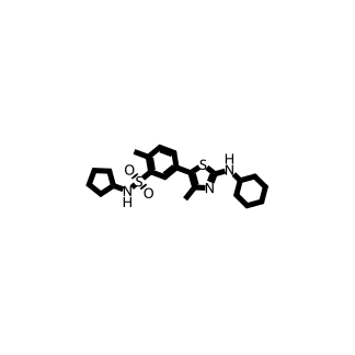 Cc1ccc(-c2sc(NC3CCCCC3)nc2C)cc1S(=O)(=O)NC1CCCC1